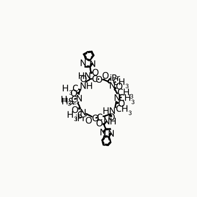 CC1NC(=O)C(NC(=O)c2cnc3ccccc3n2)COC(=O)[C@@H](C(C)C)N(C)C(=O)[C@H](CS)N(C)C(=O)C(C)NC(=O)[C@@H](NC(=O)c2cnc3ccccc3n2)COC(=O)C(C(C)C)N(C)C(=O)[C@H](C)N(C)C1=O